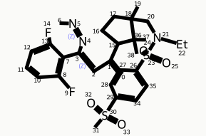 C=C(/C=C(\N=N/C)c1c(F)cccc1F)C1CCC(C)(CN(CC)S(=O)(=O)c2ccc(S(C)(=O)=O)cc2)C1(C)C